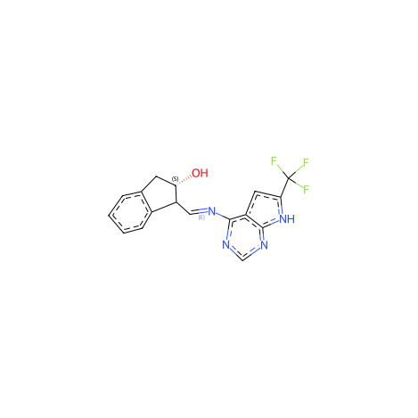 O[C@H]1Cc2ccccc2C1/C=N/c1ncnc2[nH]c(C(F)(F)F)cc12